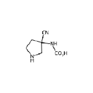 N#CC1(NC(=O)O)CCNC1